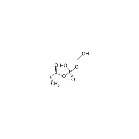 C=CC(=O)OP(=O)(O)OCO